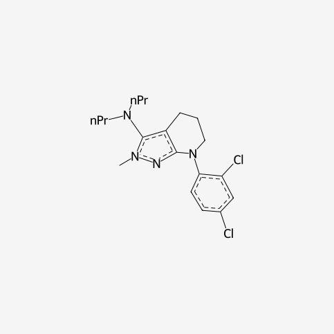 CCCN(CCC)c1c2c(nn1C)N(c1ccc(Cl)cc1Cl)CCC2